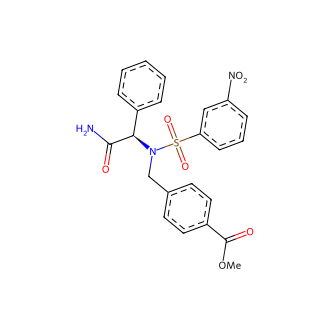 COC(=O)c1ccc(CN([C@@H](C(N)=O)c2ccccc2)S(=O)(=O)c2cccc([N+](=O)[O-])c2)cc1